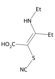 CCN/C(CC)=C(/SC#N)C(=O)O